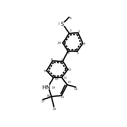 CSc1cccc(-c2ccc3c(c2)C(C)=CC(C)(C)N3)c1